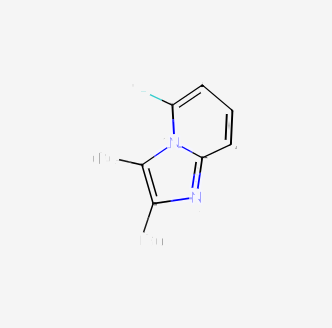 CC(C)(C)c1nc2cccc(F)n2c1C(C)(C)C